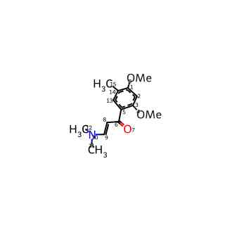 COc1cc(OC)c(C(=O)/C=C/N(C)C)cc1C